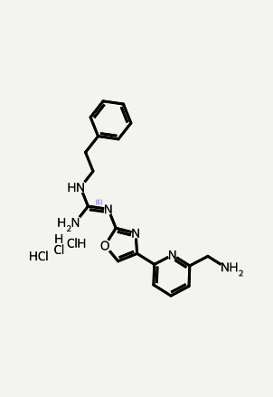 Cl.Cl.Cl.NCc1cccc(-c2coc(/N=C(\N)NCCc3ccccc3)n2)n1